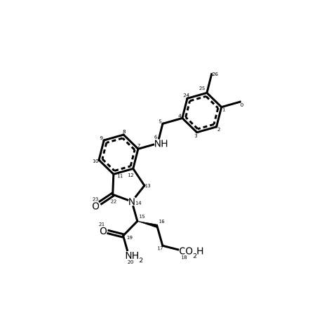 Cc1ccc(CNc2cccc3c2CN([C@@H](CCC(=O)O)C(N)=O)C3=O)cc1C